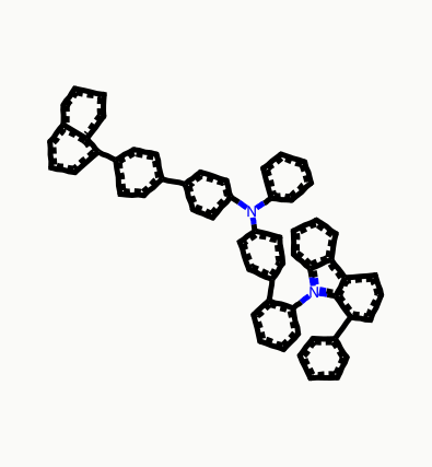 c1ccc(-c2cccc3c4ccccc4n(-c4ccccc4-c4ccc(N(c5ccccc5)c5ccc(-c6ccc(-c7cccc8ccccc78)cc6)cc5)cc4)c23)cc1